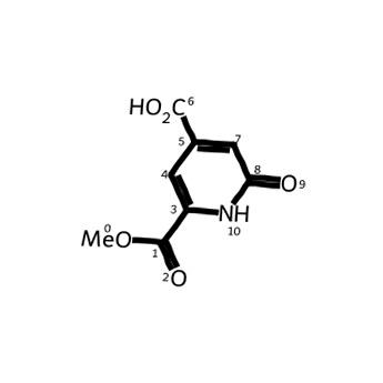 COC(=O)c1cc(C(=O)O)cc(=O)[nH]1